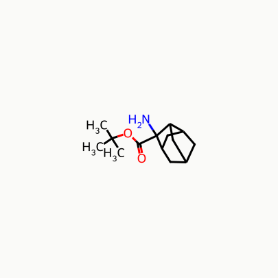 CC(C)(C)OC(=O)C1(N)C2CC3CC(C2)C1C3